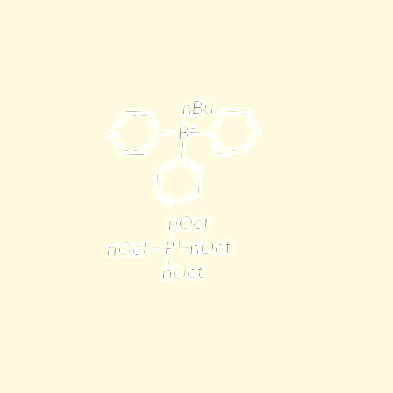 CCCCCCCC[P+](CCCCCCCC)(CCCCCCCC)CCCCCCCC.CCCC[B-](c1ccccc1)(c1ccccc1)c1ccccc1